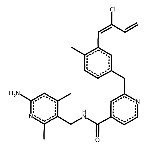 C=C/C(Cl)=C\c1cc(Cc2cc(C(=O)NCc3c(C)cc(N)nc3C)ccn2)ccc1C